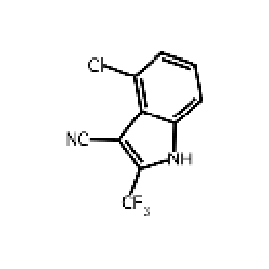 N#Cc1c(C(F)(F)F)[nH]c2cccc(Cl)c12